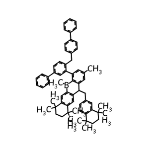 CB1c2cc3c(cc2C(Cc2ccc4c(c2)C(C)(C)CCC4(C)C)c2cc(C)cc(-c4cc(-c5ccccc5)ccc4Cc4ccc(-c5ccccc5)cc4)c21)C(C)(C)CCC3(C)C